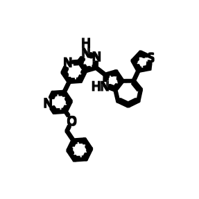 C1=CC=C(c2ccsc2)c2cc(-c3n[nH]c4ncc(-c5cncc(OCc6ccccc6)c5)cc34)[nH]c2C=1